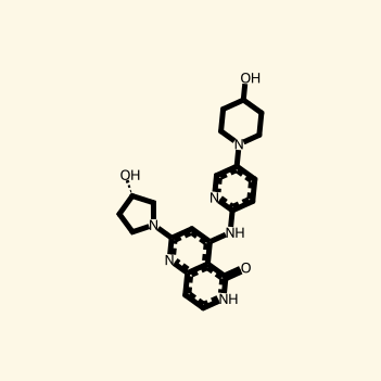 O=c1[nH]ccc2nc(N3CC[C@H](O)C3)cc(Nc3ccc(N4CCC(O)CC4)cn3)c12